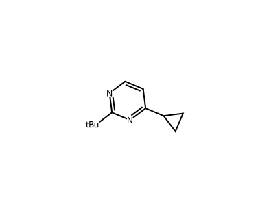 CC(C)(C)c1nccc(C2CC2)n1